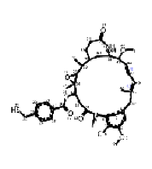 COc1cc2cc(c1Cl)N(C)C(=O)CC(OC(=O)c1ccc(CS)cc1)C1(C)OC1C(C)C1CCC(=O)NC(O)(C1)C(OC)/C=C/C=C(\C)C2